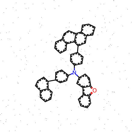 c1ccc2c(-c3ccc(N(c4ccc(-c5cc6ccccc6c6ccc7ccccc7c56)cc4)c4ccc5oc6ccccc6c5c4)cc3)cccc2c1